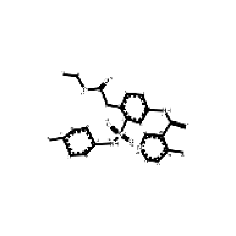 C=C(Nc1ccc(CC(=O)OCC)c(S(=O)(=O)Nc2ccc(C)cc2)c1)c1cnccc1C